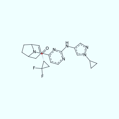 O=C([C@@H]1CC1(F)F)N1C2C=C(c3ccnc(Nc4cnn(C5CC5)c4)n3)CC1CC2